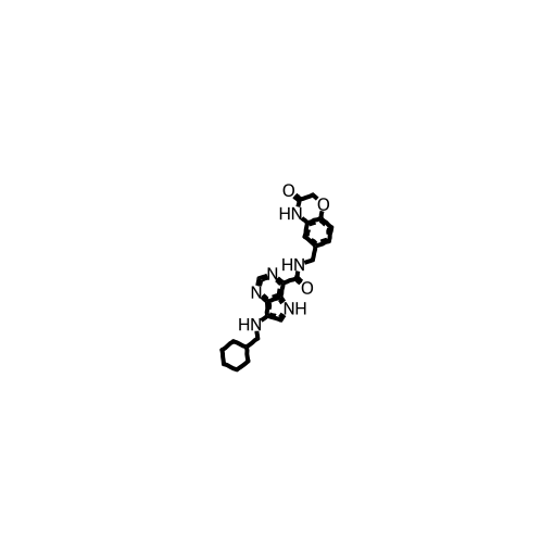 O=C1COc2ccc(CNC(=O)c3ncnc4c(NCC5CCCCC5)c[nH]c34)cc2N1